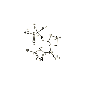 CN(c1ncc(F)s1)C1CCNC1.O=C(O)C(F)(F)F